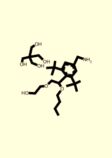 CCCCOC(COCCO)c1c(C(C)(C)C)cc(CN)cc1C(C)(C)C.OCC(CO)(CO)CO